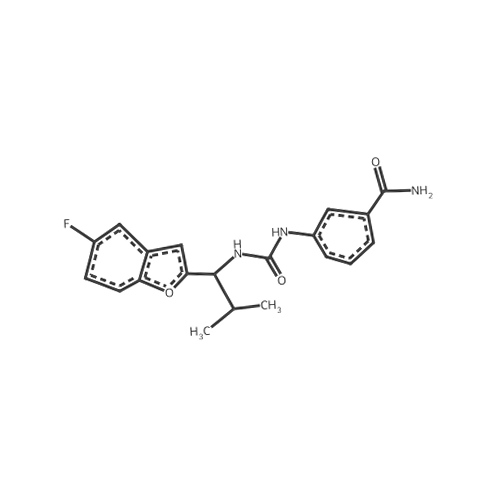 CC(C)C(NC(=O)Nc1cccc(C(N)=O)c1)c1cc2cc(F)ccc2o1